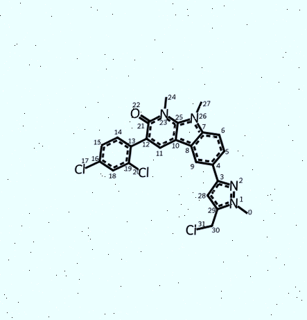 Cn1nc(-c2ccc3c(c2)c2cc(-c4ccc(Cl)cc4Cl)c(=O)n(C)c2n3C)cc1CCl